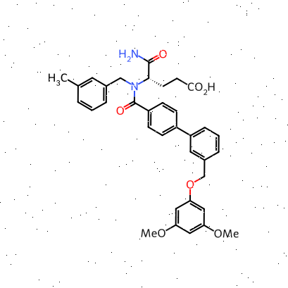 COc1cc(OC)cc(OCc2cccc(-c3ccc(C(=O)N(Cc4cccc(C)c4)[C@@H](CCC(=O)O)C(N)=O)cc3)c2)c1